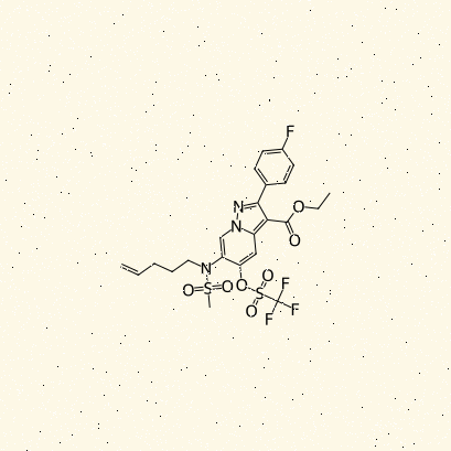 C=CCCCN(c1cn2nc(-c3ccc(F)cc3)c(C(=O)OCC)c2cc1OS(=O)(=O)C(F)(F)F)S(C)(=O)=O